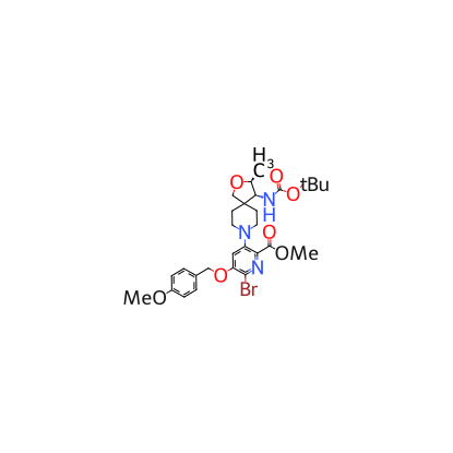 COC(=O)c1nc(Br)c(OCc2ccc(OC)cc2)cc1N1CCC2(CC1)CO[C@@H](C)[C@H]2NC(=O)OC(C)(C)C